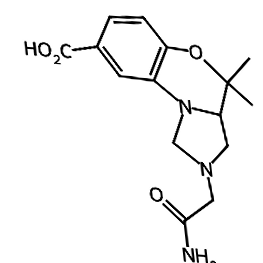 CC1(C)Oc2ccc(C(=O)O)cc2N2CN(CC(N)=O)CC21